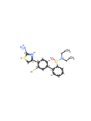 CCN(CC)[S+]([O-])c1ccccc1-c1ccc(-c2csc(N)n2)c(F)c1